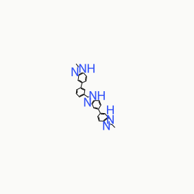 Cc1nc2cc(-c3cccc(-c4nc5cc(-c6ccc7nc(C)[nH]c7c6)ccc5[nH]4)c3)ccc2[nH]1